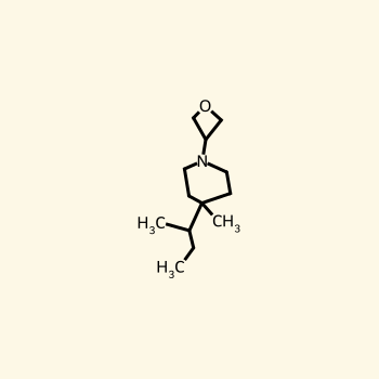 CCC(C)C1(C)CCN(C2COC2)CC1